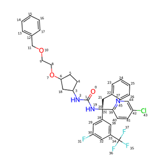 O=C(NC1CCC(OCCOCc2ccccc2)C1)N[C@@](Cc1ccccc1)(c1cc(F)cc(C(F)(F)F)c1)c1ccc(Cl)cn1